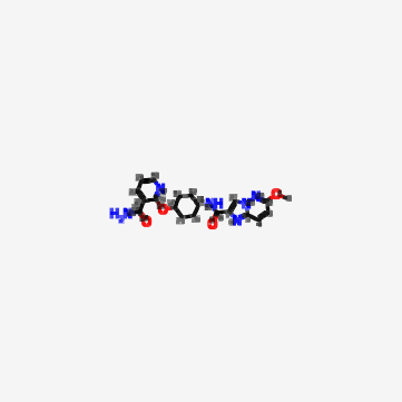 COc1ccc2nc(C(=O)N[C@H]3CC[C@H](Oc4ncccc4C(N)=O)CC3)cn2n1